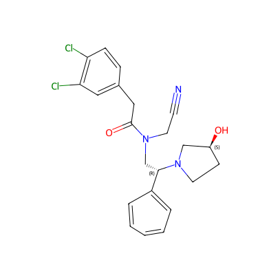 N#CCN(C[C@@H](c1ccccc1)N1CC[C@H](O)C1)C(=O)Cc1ccc(Cl)c(Cl)c1